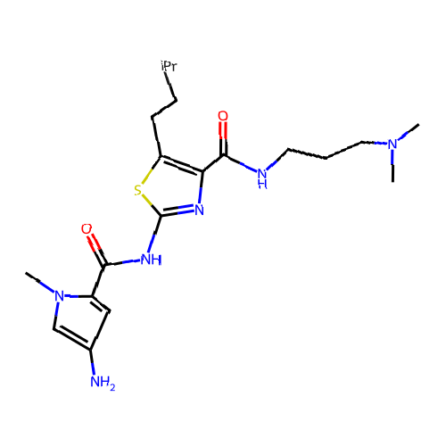 CC(C)CCc1sc(NC(=O)c2cc(N)cn2C)nc1C(=O)NCCCN(C)C